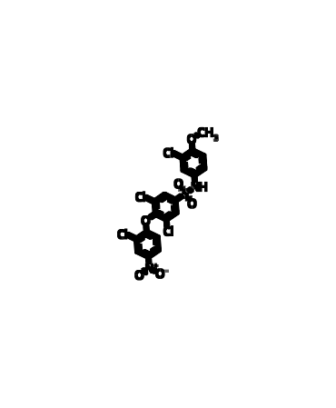 COc1ccc(NS(=O)(=O)c2cc(Cl)c(Oc3ccc([N+](=O)[O-])cc3Cl)c(Cl)c2)cc1Cl